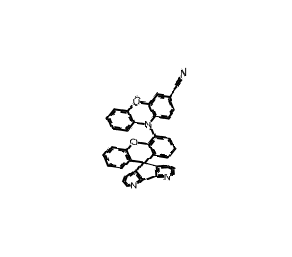 N#Cc1ccc2c(c1)Oc1ccccc1N2c1cccc2c1Oc1ccccc1C21c2cccnc2-c2ncccc21